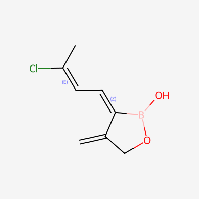 C=C1COB(O)/C1=C/C=C(\C)Cl